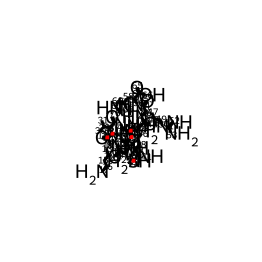 CC(C)C[C@H](NC(=O)[C@@H](NC(=O)[C@H](CCCCN)NC(=O)[C@H](CS)NC(=O)CN)C(C)C)C(=O)N[C@@H](CCCNC(=N)N)C(=O)N[C@@H](CCCNC(=N)N)C(=O)N[C@@H](Cc1c[nH]cn1)C(=O)O